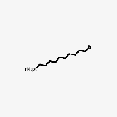 [CH2]CCCCCCCCCCCCCCCCBr